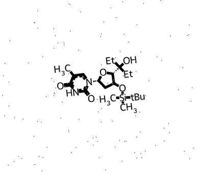 CCC(O)(CC)[C@H]1O[C@@H](n2cc(C)c(=O)[nH]c2=O)CC1O[Si](C)(C)C(C)(C)C